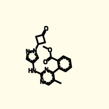 COC(=O)c1ccccc1-c1nc(Nc2cnn(C3CC(=O)C3)c2)ncc1C